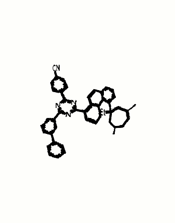 CCC1(c2cccc3c2C2CC=CC(c4nc(-c5ccc(C#N)cc5)nc(-c5cccc(-c6ccccc6)c5)n4)=C2C=C3)C[C@H](C)CC[C@H](C)C1